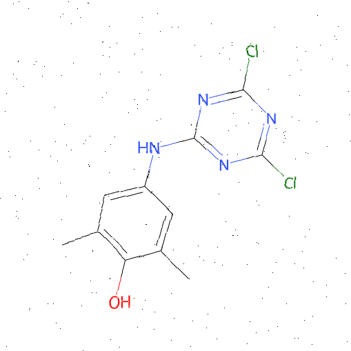 Cc1cc(Nc2nc(Cl)nc(Cl)n2)cc(C)c1O